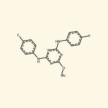 CCC(C)Oc1nc(Nc2ccc(F)cc2)nc(Nc2ccc(F)cc2)n1